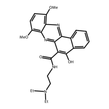 CCN(CC)CCNC(=O)c1c(O)c2ccccc2c2nc3c(OC)ccc(OC)c3nc12